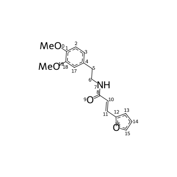 COc1ccc(CCNC(=O)C=Cc2ccco2)cc1OC